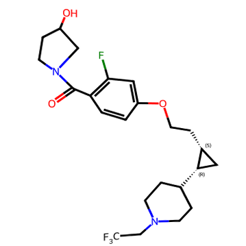 O=C(c1ccc(OCC[C@@H]2C[C@@H]2C2CCN(CC(F)(F)F)CC2)cc1F)N1CCC(O)C1